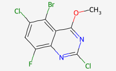 COc1nc(Cl)nc2c(F)cc(Cl)c(Br)c12